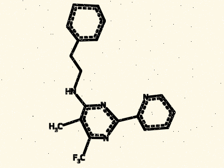 Cc1c(NCCc2ccccc2)nc(-c2ccccn2)nc1C(F)(F)F